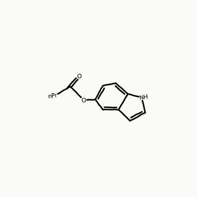 CCCC(=O)Oc1ccc2[nH]ccc2c1